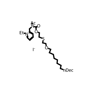 CCCCCCCCCCCCCCCCCCOCCSCCOC(=O)N(Cc1cccc[n+]1CC)C(C)=O.[I-]